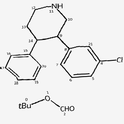 CC(C)(C)OC=O.Clc1cccc(C2CNCCC2c2ccccc2)c1